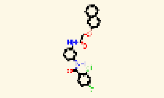 O=C(COc1ccc2ccccc2c1)Nc1cccc(NC(=O)c2ccc(Cl)cc2Cl)c1